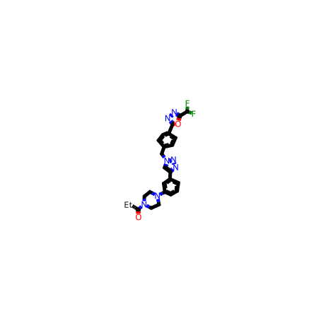 CCC(=O)N1CCN(c2cccc(-c3cn(Cc4ccc(-c5nnc(C(F)F)o5)cc4)nn3)c2)CC1